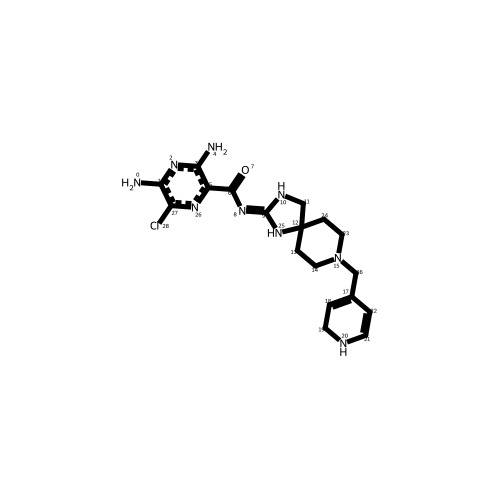 Nc1nc(N)c(C(=O)/N=C2\NCC3(CCN(CC4=CCNC=C4)CC3)N2)nc1Cl